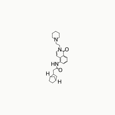 O=C(CC1C[C@H]2CC[C@@H]1C2)Nc1cccc2c(=O)n(CCN3CCCCC3)ccc12